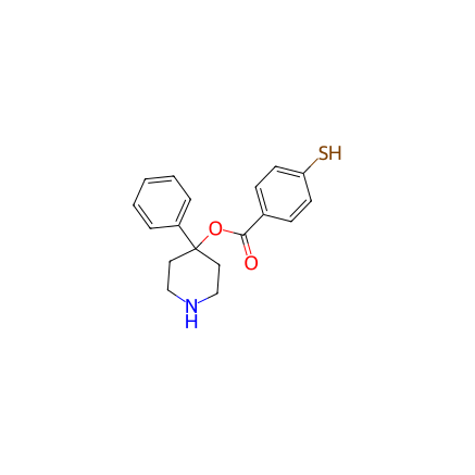 O=C(OC1(c2ccccc2)CCNCC1)c1ccc(S)cc1